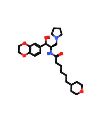 O=C(CCCCCC1CCOCC1)N[C@H](CN1CCCC1)C(O)c1ccc2c(c1)OCCO2